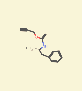 C#CCOC(=C)N[C@H](Cc1ccccc1)C(=O)O